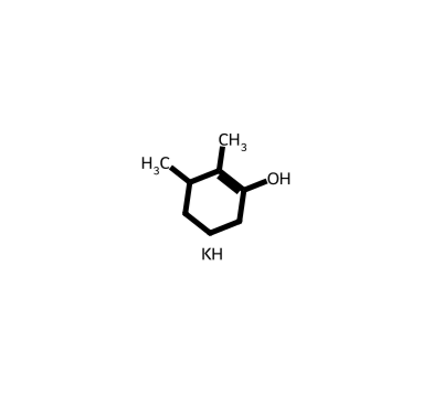 CC1=C(O)CCCC1C.[KH]